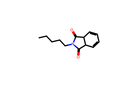 CCCCCN1C(=O)C2C=CC=CC2C1=O